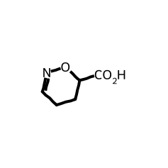 O=C(O)C1CCC=NO1